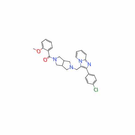 COc1ccccc1C(=O)N1CC2CN(Cc3c(-c4ccc(Cl)cc4)nc4ccccn34)CC2C1